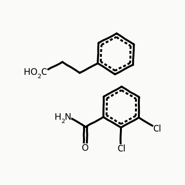 NC(=O)c1cccc(Cl)c1Cl.O=C(O)CCc1ccccc1